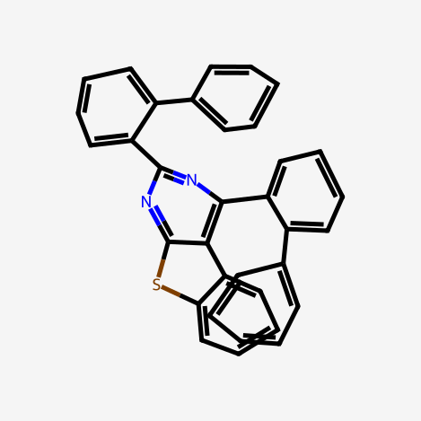 c1ccc(-c2ccccc2-c2nc(-c3ccccc3-c3ccccc3)c3c(n2)sc2ccccc23)cc1